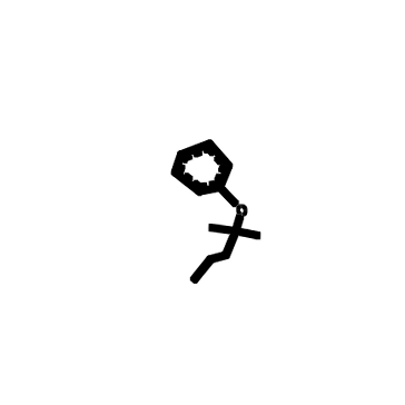 CCCC(C)(C)Oc1[c]cccc1